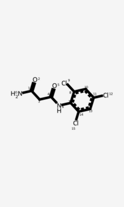 NC(=O)[CH]C(=O)Nc1c(Cl)cc(Cl)cc1Cl